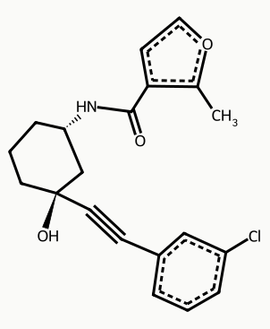 Cc1occc1C(=O)N[C@H]1CCC[C@@](O)(C#Cc2cccc(Cl)c2)C1